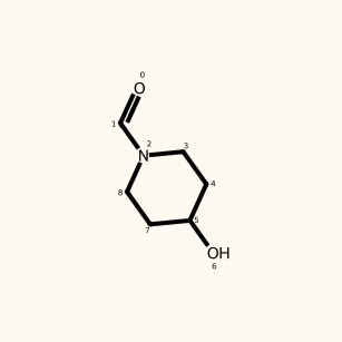 O=[C]N1CCC(O)CC1